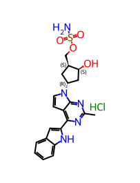 Cc1nc(-c2cc3ccccc3[nH]2)c2ccn([C@@H]3C[C@@H](COS(N)(=O)=O)[C@@H](O)C3)c2n1.Cl